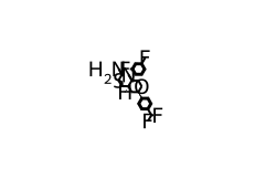 NC1=N[C@@]2(c3ccc(F)cc3F)CO[C@@H](c3ccc(C(F)F)cc3)C[C@H]2CS1